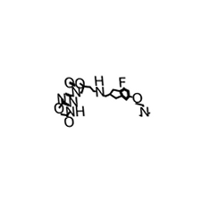 CN(C)CCOc1cc(F)c2c(c1)CC(CNCCC1CN(c3cnc4c(n3)NC(=O)CO4)C(=O)O1)C2